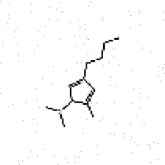 CCCCC1=CC([Si](C)C)C(C)=C1